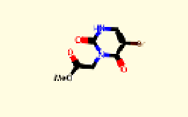 COC(=O)Cn1c(=O)[nH]cc(Br)c1=O